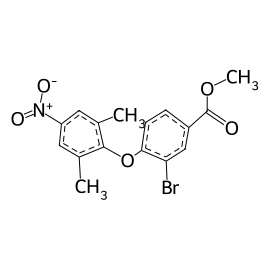 COC(=O)c1ccc(Oc2c(C)cc([N+](=O)[O-])cc2C)c(Br)c1